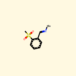 CC(C)(C)N=Cc1ccccc1S(C)(=O)=O